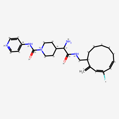 C=C1/C=C(F)\C=C/CCCCCC1CNC(=O)C(N)C1CCN(C(=O)Nc2ccncc2)CC1